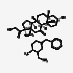 CC1CCN(Cc2ccccc2)CC1CN.C[C@]12CC[C@@H](O)C[C@H]1CC[C@@H]1[C@@H]2C(=O)C[C@@]2(C)[C@H]1CC[C@]2(O)C(=O)CO